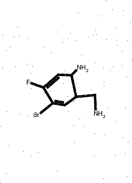 NCC1C=C(Br)C(F)=CC1N